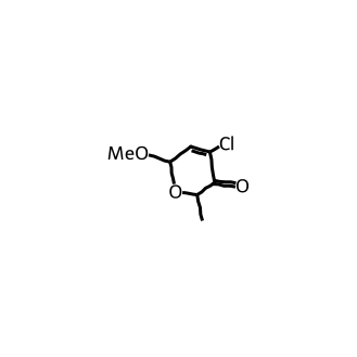 COC1C=C(Cl)C(=O)C(C)O1